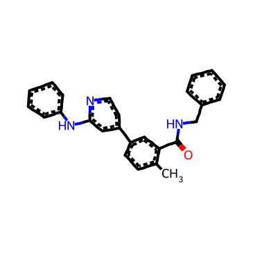 Cc1ccc(-c2ccnc(Nc3ccccc3)c2)cc1C(=O)NCc1ccccc1